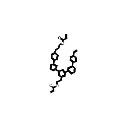 C=CC(=O)OCCCc1ccc(-c2cccc(-c3cc(CCOC(=O)C=C)cc(-c4cccc(-c5ccc(C=C)cc5)c4)c3)c2)cc1